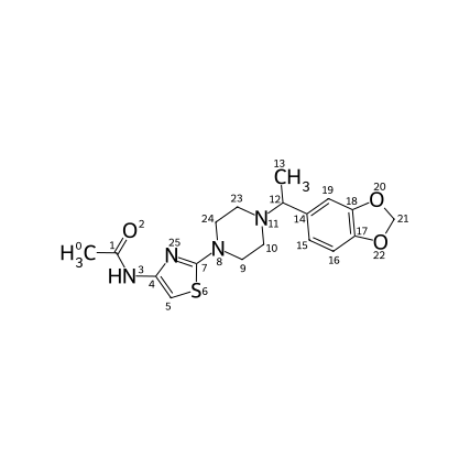 CC(=O)Nc1csc(N2CCN(C(C)c3ccc4c(c3)OCO4)CC2)n1